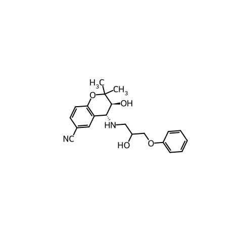 CC1(C)Oc2ccc(C#N)cc2[C@@H](NCC(O)COc2ccccc2)[C@@H]1O